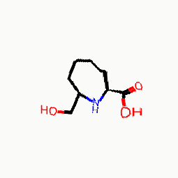 O=C(O)[C@@H]1CCCCC(CO)N1